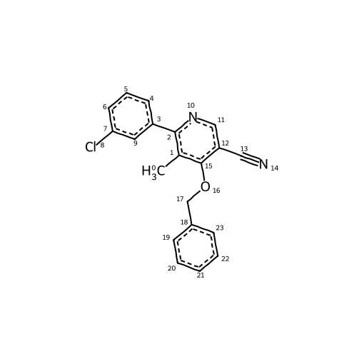 Cc1c(-c2cccc(Cl)c2)ncc(C#N)c1OCc1ccccc1